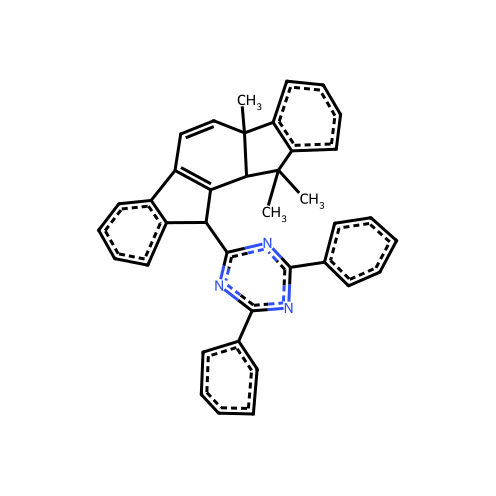 CC1(C)c2ccccc2C2(C)C=CC3=C(C(c4nc(-c5ccccc5)nc(-c5ccccc5)n4)c4ccccc43)C12